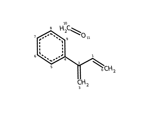 C=CC(=C)c1ccccc1.C=O